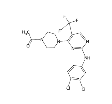 CC(=O)N1CCN(c2nc(Nc3ccc(Cl)c(Cl)c3)ncc2C(F)(F)F)CC1